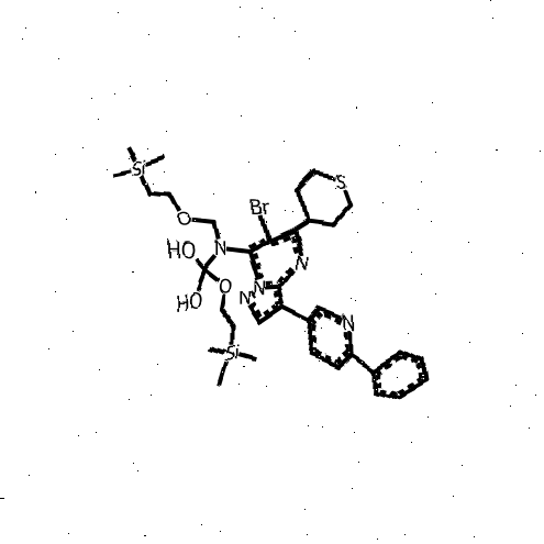 C[Si](C)(C)CCOCN(c1c(Br)c(C2CCSCC2)nc2c(-c3ccc(-c4ccccc4)nc3)cnn12)C(O)(O)OCC[Si](C)(C)C